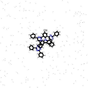 N#Cc1cc(-c2cc(-c3ccccc3)nc(-c3ccccc3)n2)c(-n2c3ccccc3c3cc(-c4nc(-c5ccccc5)nc(-c5ccccc5)n4)ccc32)c(-c2nc(-c3ccccc3)cc(-c3ccccc3)n2)c1